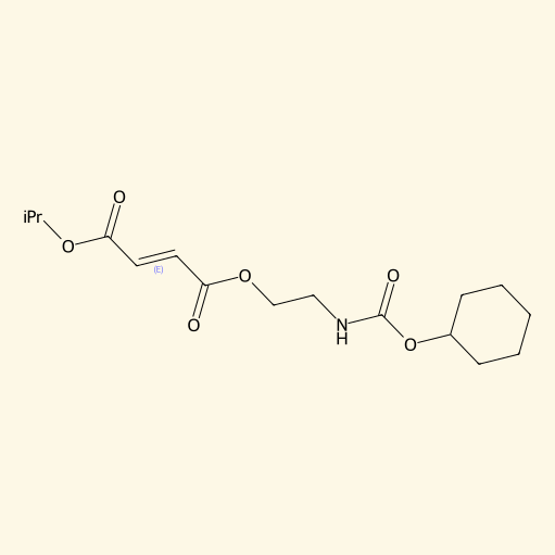 CC(C)OC(=O)/C=C/C(=O)OCCNC(=O)OC1CCCCC1